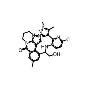 Cc1cc(C(CO)Nc2ccc(Cl)nc2-c2cnn(C)c2C)c2c(c1)c(=O)n1c3c2cnn3CCC1